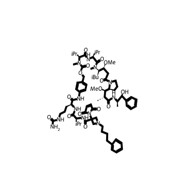 CC[C@H](C)[C@@H]([C@@H](CC(=O)N1CCC[C@H]1[C@H](OC)[C@@H](C)C(=O)N[C@H](C)[C@@H](O)c1ccccc1)OC)N(C)C(=O)[C@@H](NC(=O)[C@H](C(C)C)N(C)C(=O)OCc1ccc(NC(=O)[C@H](CCCNC(N)=O)NC(=O)[C@@H](NC(=O)C2(N3C(=O)C=CC3=O)CN(CCCCc3ccccc3)C2)C(C)C)cc1)C(C)C